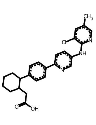 Cc1cnc(Nc2ccc(-c3ccc(C4CCCCC4CC(=O)O)cc3)nc2)c(Cl)c1